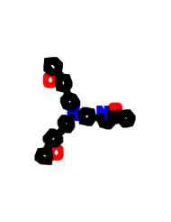 c1ccc2c(c1)oc1cc(-c3ccc(N(c4ccc(-c5ccc6c(c5)oc5ccccc56)cc4)c4ccc(-c5ccc6c(n5)oc5ccccc56)cc4)cc3)ccc12